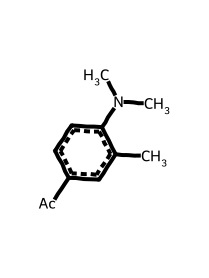 CC(=O)c1ccc(N(C)C)c(C)c1